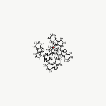 c1ccc(-c2nc(-c3cccc4c3oc3ccccc34)nc(-c3cccc4oc5ccc(-c6ccc(-c7cccc8c9ccccc9n(-c9ccccc9)c78)c7oc8ccccc8c67)cc5c34)n2)cc1